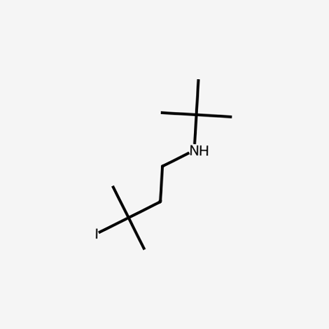 CC(C)(I)CCNC(C)(C)C